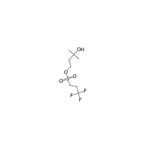 CC(C)(O)CCOS(=O)(=O)CCC(F)(F)F